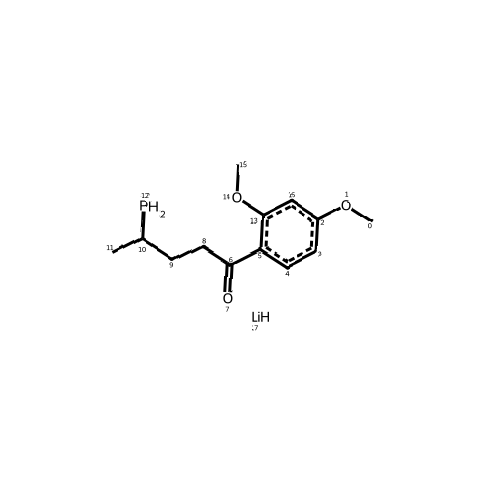 COc1ccc(C(=O)CCC(C)P)c(OC)c1.[LiH]